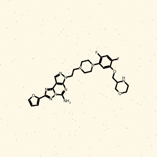 Nc1nc2c(cnn2CCN2CCN(c3cc(OCC4COCCN4)c(F)cc3F)CC2)c2nc(-c3ccco3)nn12